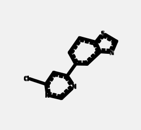 Clc1cc(-c2ccc3scnc3c2)ncn1